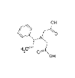 C=CC(c1ccccc1)N(CC(=O)O)CC(=O)O